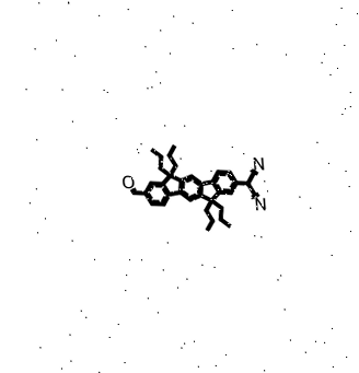 CCCC1(CCC)c2cc(C=O)ccc2-c2cc3c(cc21)-c1ccc(C(C#N)C#N)cc1C3(CCC)CCC